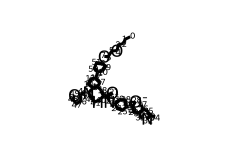 CCCCOCCOc1ccc(-c2ccc3c(c2)/C=C(/C(=O)Nc2ccc([S+]([O-])Cc4cnc(C)cc4C)cc2)CCCN3CC2CCCO2)cc1